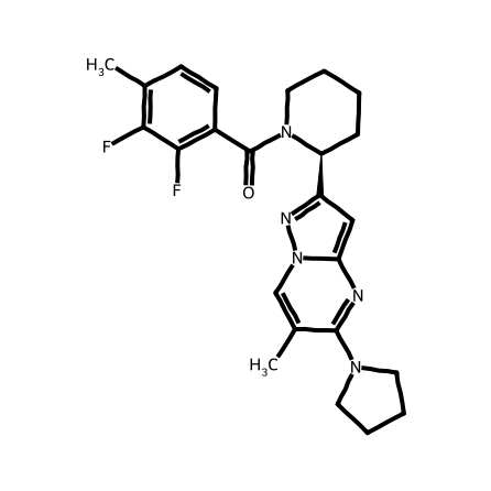 Cc1cn2nc([C@@H]3CCCCN3C(=O)c3ccc(C)c(F)c3F)cc2nc1N1CCCC1